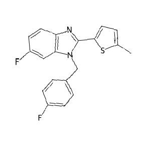 Cc1ccc(-c2nc3ccc(F)cc3n2Cc2ccc(F)cc2)s1